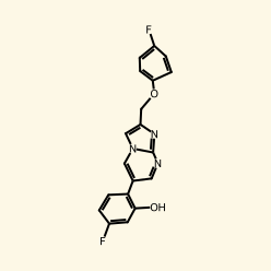 Oc1cc(F)ccc1-c1cnc2nc(COc3ccc(F)cc3)cn2c1